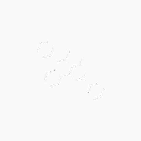 N/C(=C\c1ccccc1)c1c(-c2ccccc2)cc(-c2ccccc2)nc1S